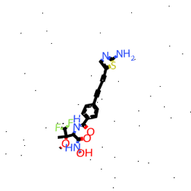 COC(C)(C(F)F)C(NC(=O)c1ccc(C#CC#Cc2cnc(N)s2)cc1)C(=O)NO